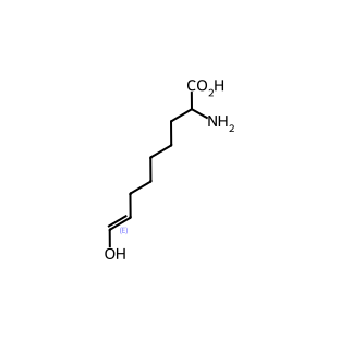 NC(CCCCC/C=C/O)C(=O)O